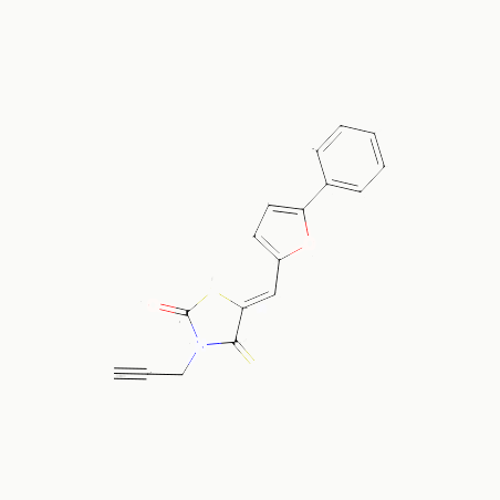 C#CCN1C(=O)S/C(=C\c2ccc(-c3ccccc3)o2)C1=S